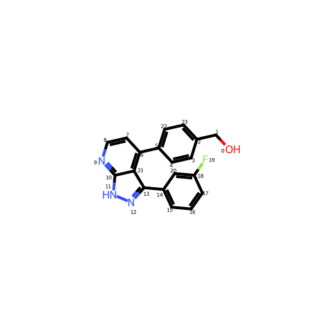 OCc1ccc(-c2ccnc3[nH]nc(-c4cccc(F)c4)c23)cc1